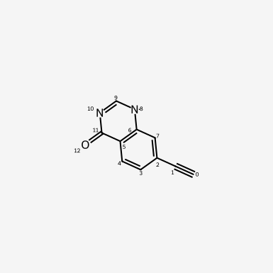 C#Cc1ccc2c(c1)[N]C=NC2=O